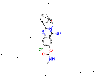 CNC(=O)Oc1cc2c(=N)n3c(nc2cc1Cl)C1CC2CC(C1)CC3C2